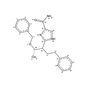 C[C@H](OCc1ccccc1)C(CCc1ccccc1)c1nc(C(N)=O)c[nH]1